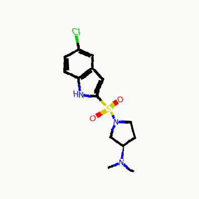 CN(C)[C@@H]1CCN(S(=O)(=O)c2cc3cc(Cl)ccc3[nH]2)C1